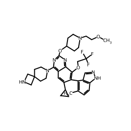 COCCN1CCC(Oc2nc(N3CCC4(CC3)CNC4)c3cc(C4CC4)c(-c4c(C)ccc5[nH]ncc45)c(OCC(F)(F)F)c3n2)CC1